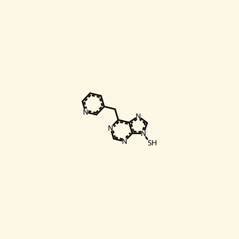 Sn1cnc2c(Cc3cccnc3)ncnc21